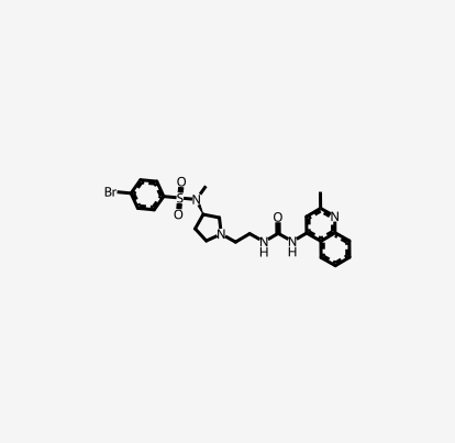 Cc1cc(NC(=O)NCCN2CC[C@@H](N(C)S(=O)(=O)c3ccc(Br)cc3)C2)c2ccccc2n1